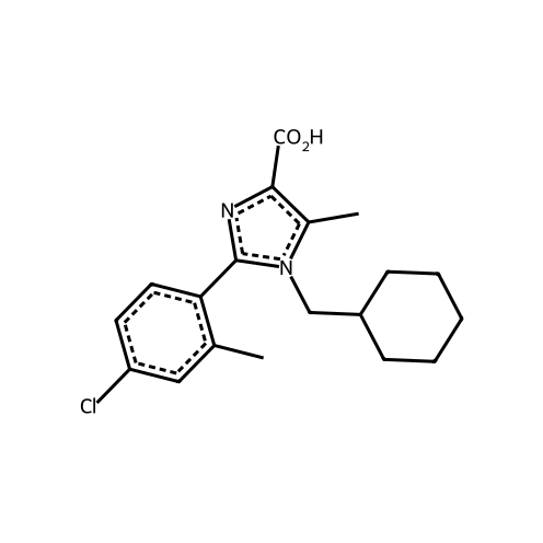 Cc1cc(Cl)ccc1-c1nc(C(=O)O)c(C)n1CC1CCCCC1